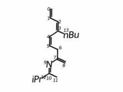 C=C/C=C(\C=C/CC(=C)/N=C(\C)C(C)C)CCCC